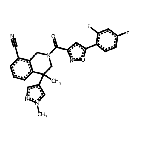 Cn1cc(C2(C)CN(C(=O)c3cc(-c4ccc(F)cc4F)on3)Cc3c(C#N)cccc32)cn1